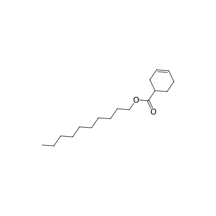 CCCCCCCCCCOC(=O)C1CC=CCC1